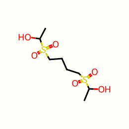 CC(O)S(=O)(=O)CCCCS(=O)(=O)C(C)O